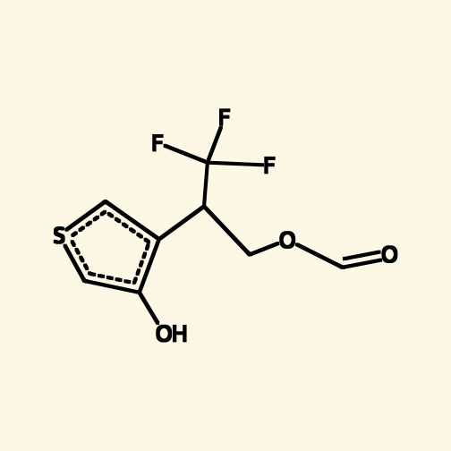 O=COCC(c1cscc1O)C(F)(F)F